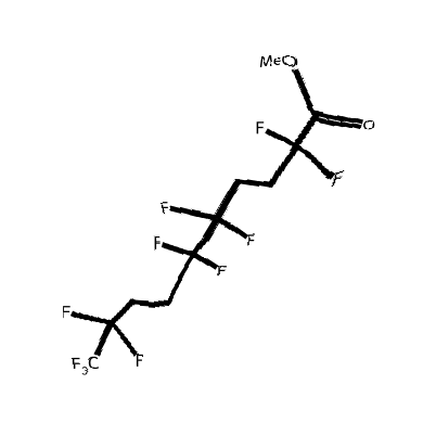 COC(=O)C(F)(F)CCC(F)(F)C(F)(F)CCC(F)(F)C(F)(F)F